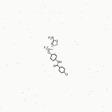 NC1=N[C@@H](C[C@@H](Oc2ccc(NC(=O)c3ccc(Cl)cc3)cc2)C(F)(F)F)CO1